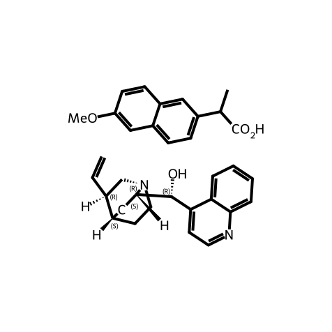 C=C[C@H]1C[N@]2CC[C@H]1C[C@H]2[C@H](O)c1ccnc2ccccc12.COc1ccc2cc(C(C)C(=O)O)ccc2c1